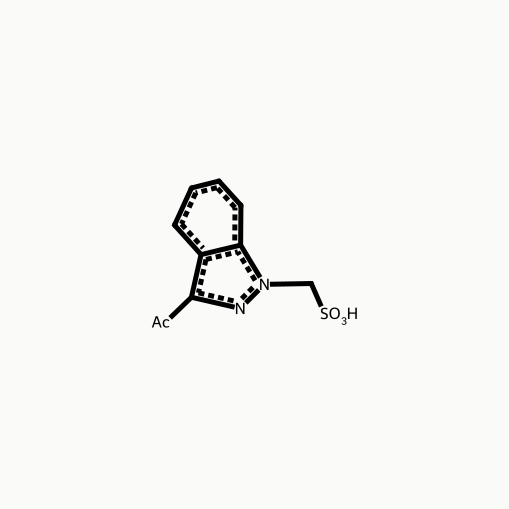 CC(=O)c1nn(CS(=O)(=O)O)c2ccccc12